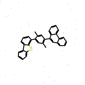 Cc1cc(-c2cccc3c2sc2ccccc23)c(C)cc1-c1cc2ccccc2c2ccccc12